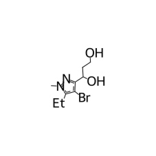 CCc1c(Br)c(C(O)CCO)nn1C